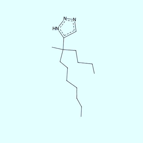 CCCCCCCC(C)(CCCC)c1cnn[nH]1